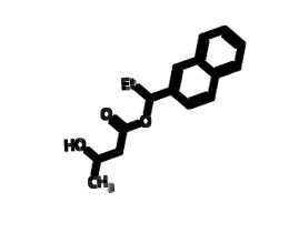 CCC(OC(=O)CC(C)O)c1ccc2ccccc2c1